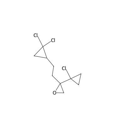 ClC1(Cl)CC1CCC1(C2(Cl)CC2)CO1